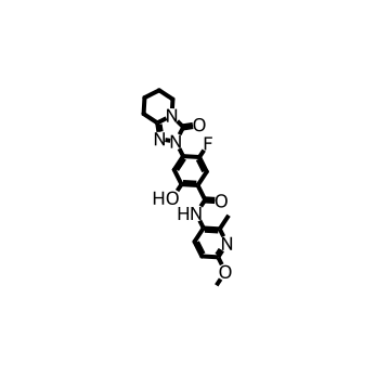 COc1ccc(NC(=O)c2cc(F)c(-n3nc4n(c3=O)CCCC4)cc2O)c(C)n1